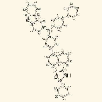 c1ccc(-c2ccc(N(c3ccc(-c4ccc5c6c(cccc46)C4=C5OC(c5ccccc5)N4)cc3)c3ccc4sc5ccccc5c4c3)cc2)cc1